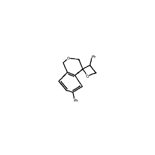 CC(C)c1ccc2c(c1)C1(COC2)OCC1C(C)C